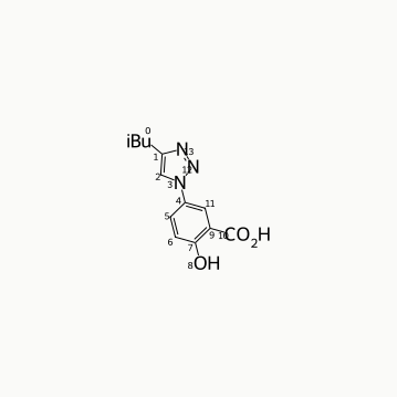 CCC(C)c1cn(-c2ccc(O)c(C(=O)O)c2)nn1